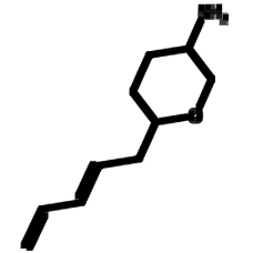 C=C/C=C/CC1CCC(N)CO1